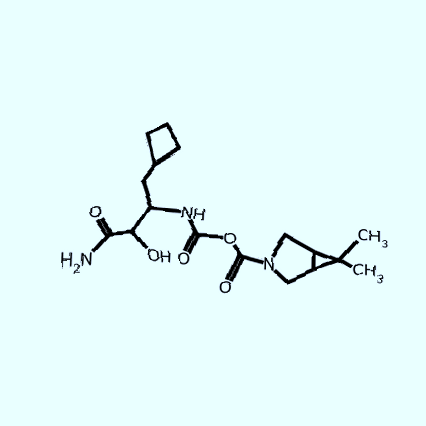 CC1(C)C2CN(C(=O)OC(=O)NC(CC3CCC3)C(O)C(N)=O)CC21